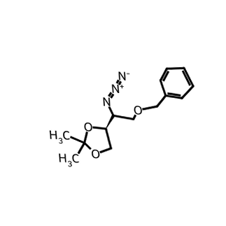 CC1(C)OC[C@H](C(COCc2ccccc2)N=[N+]=[N-])O1